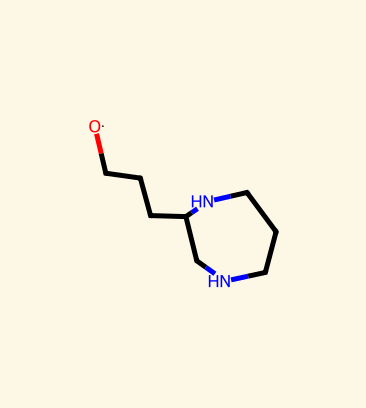 [O]CCCC1CNCCCN1